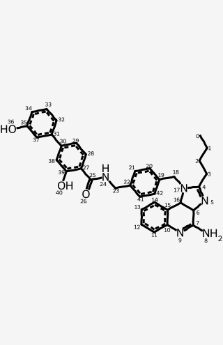 CCCCC1=NC2C(N)=Nc3ccccc3C2N1Cc1ccc(CNC(=O)c2ccc(-c3cccc(O)c3)cc2O)cc1